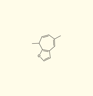 CC1=Cc2ccoc2C(C)C=C1